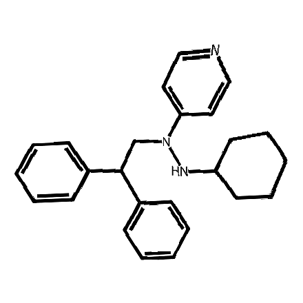 c1ccc(C(CN(NC2CCCCC2)c2ccncc2)c2ccccc2)cc1